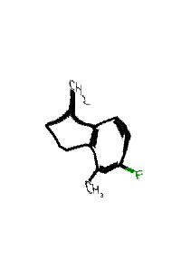 C=C1CCc2c1ccc(F)c2C